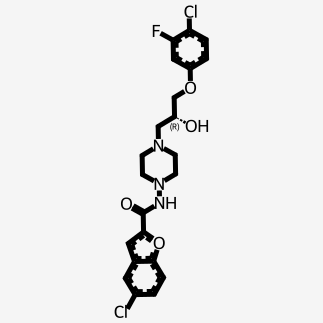 O=C(NN1CCN(C[C@@H](O)COc2ccc(Cl)c(F)c2)CC1)c1cc2cc(Cl)ccc2o1